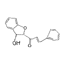 O=C(/C=C/c1ccccc1)C1Oc2ccccc2C1O